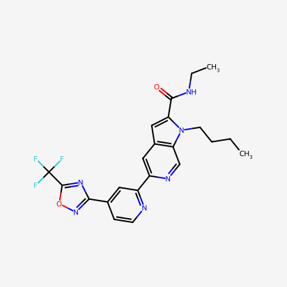 CCCCn1c(C(=O)NCC)cc2cc(-c3cc(-c4noc(C(F)(F)F)n4)ccn3)ncc21